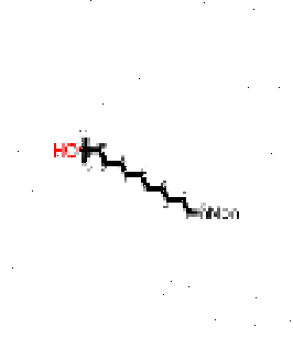 CCCCCCCCCCCCCCCCCCCC(C)(C)O